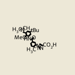 COc1c(CN(C)C)cc(C(C)(C)C)cc1NC(=O)c1ccc(C)c(-n2cc(C(=O)O)nn2)c1